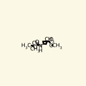 COC(=O)[C@]1(C)C[C@H](NC(=O)OC(C)(C)C)C1